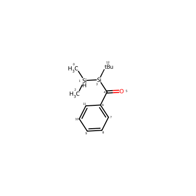 C[SiH](C)[Si](C(=O)c1ccccc1)C(C)(C)C